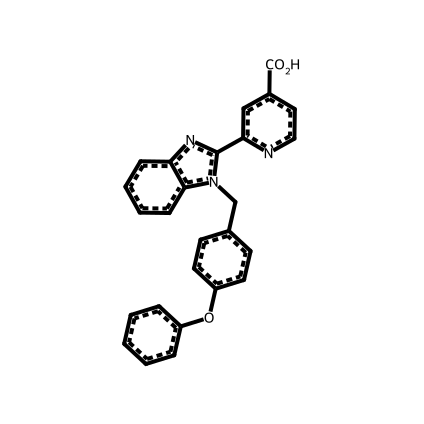 O=C(O)c1ccnc(-c2nc3ccccc3n2Cc2ccc(Oc3ccccc3)cc2)c1